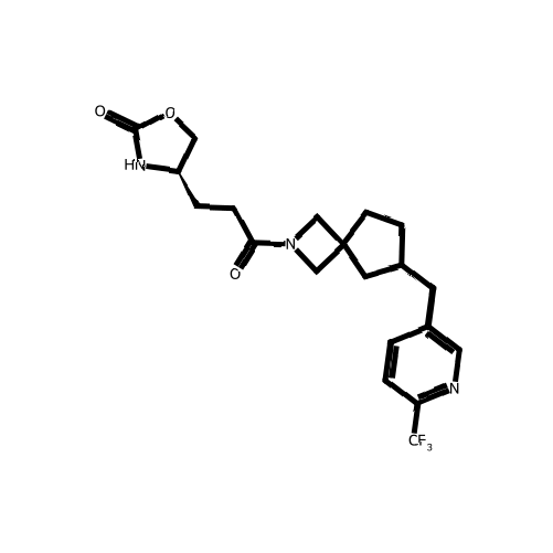 O=C1N[C@H](CCC(=O)N2CC3(CCC(Cc4ccc(C(F)(F)F)nc4)C3)C2)CO1